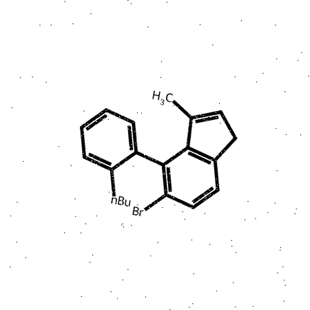 CCCCc1ccccc1-c1c(Br)ccc2c1C(C)=CC2